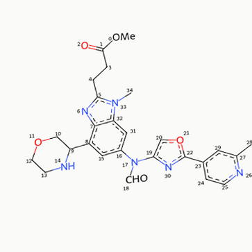 COC(=O)CCc1nc2c(C3COCCN3)cc(N(C=O)c3coc(-c4ccnc(C)c4)n3)cc2n1C